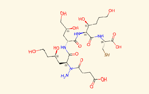 NN(C(=O)CCC(=O)O)[C@@H](C[C@H](O)CCO)C(=O)NC(C[C@H](O)CO)C(=O)N[C@H](C(=O)N[C@@H](CS)C(=O)O)[C@@H](O)CCCO